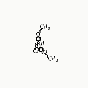 CCCCOc1ccc(NN=C(CC)c2ccc(OCCCC)cc2)cc1